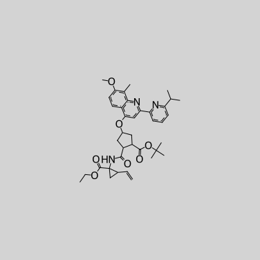 C=CC1CC1(NC(=O)C1CC(Oc2cc(-c3cccc(C(C)C)n3)nc3c(C)c(OC)ccc23)CC1C(=O)OC(C)(C)C)C(=O)OCC